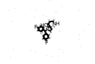 O[C@@H]1CCNC[C@@]12CCN(C(c1ccc(F)cc1)c1ccc(F)cc1)C2